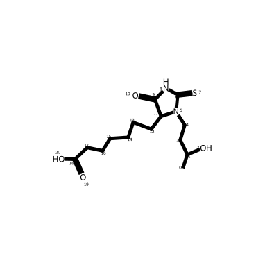 CC(O)CCN1C(=S)NC(=O)C1CCCCCCC(=O)O